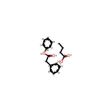 CCCC(=O)O.O=C(Cc1ccccc1)Oc1ccccc1